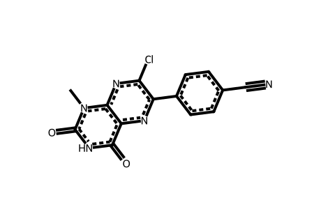 Cn1c(=O)[nH]c(=O)c2nc(-c3ccc(C#N)cc3)c(Cl)nc21